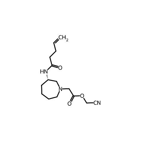 C=CCCC(=O)N[C@H]1CCCCN(CC(=O)OCC#N)C1